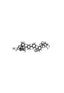 CC(C)(C)Oc1cccc(C(O)c2cccc(-c3ccc(C(O)c4ccccc4OC(C)(C)C)cc3)c2)c1